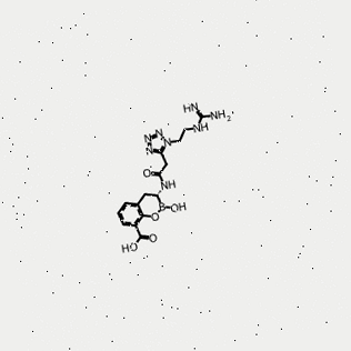 N=C(N)NCCn1nnnc1CC(=O)N[C@H]1Cc2cccc(C(=O)O)c2OB1O